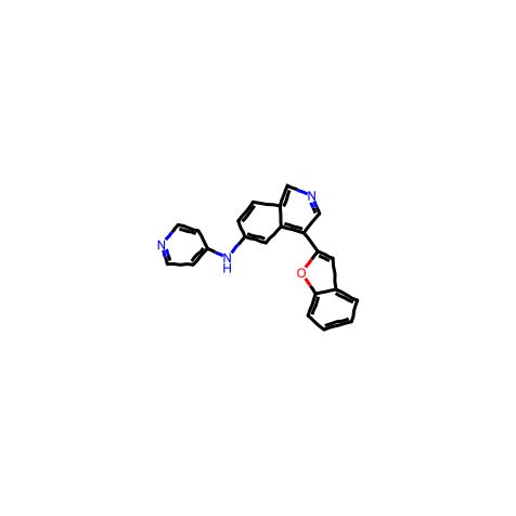 c1ccc2oc(-c3cncc4ccc(Nc5ccncc5)cc34)cc2c1